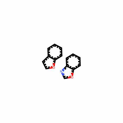 c1ccc2occc2c1.c1ccc2ocnc2c1